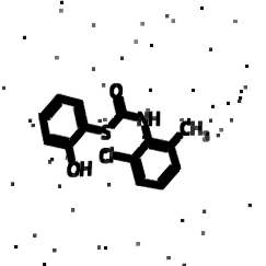 Cc1cccc(Cl)c1NC(=O)Sc1ccccc1O